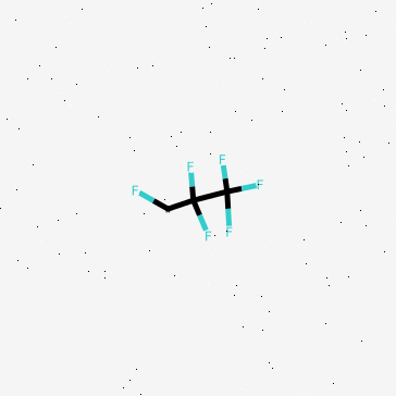 F[C]C(F)(F)C(F)(F)F